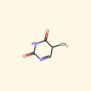 CC1C=NC(=O)NC1=O